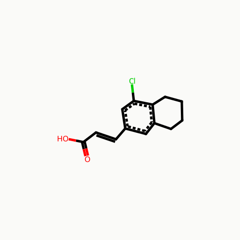 O=C(O)C=Cc1cc(Cl)c2c(c1)CCCC2